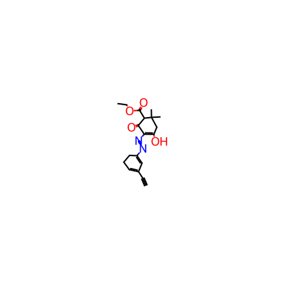 C#CC1=CCCC(/N=N/C2=C(O)CC(C)(C)C(C(=O)OCC)C2=O)=C1